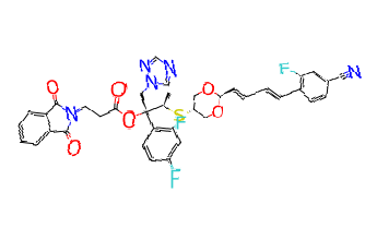 C[C@@H](S[C@H]1CO[C@H](/C=C/C=C/c2ccc(C#N)cc2F)OC1)[C@@](Cn1cncn1)(OC(=O)CCN1C(=O)c2ccccc2C1=O)c1ccc(F)cc1F